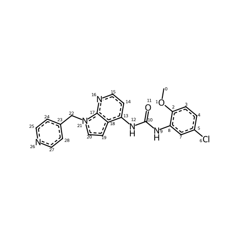 COc1ccc(Cl)cc1NC(=O)Nc1ccnc2c1ccn2Cc1ccncc1